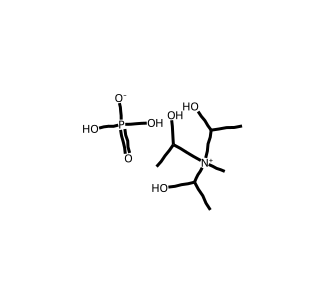 CC(O)[N+](C)(C(C)O)C(C)O.O=P([O-])(O)O